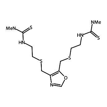 CNC(=S)NCCSCc1ncoc1CSCCNC(=S)NC